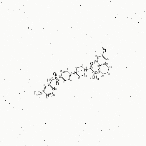 C[C@H](C(=O)N1CCN(c2ccc(S(=O)(=O)Nc3cc(C(F)(F)F)ncn3)cc2)CC1)N1CCCc2cc(Cl)ccc21